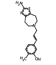 Cc1ccc(C=CCN2CCc3nc(N)sc3CC2)cc1O